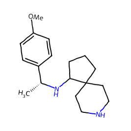 COc1ccc([C@@H](C)NC2CCCC23CCNCC3)cc1